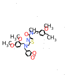 CCc1ccc(CCN(C)C(=O)c2csc(CN(Cc3ccc4c(c3)OCO4)Cc3ccc(OC)cc3OC)n2)cc1OC